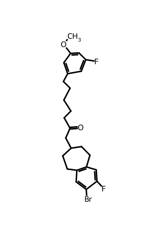 COc1cc(F)cc(CCCCCC(=O)CC2CCc3cc(F)c(Br)cc3CC2)c1